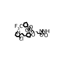 O=c1[nH]nc(CC[C@H]2CN(S(=O)(=O)c3cccc(C(F)(F)F)c3)c3cc(C=Cc4ncccc4Cl)ccc3O2)o1